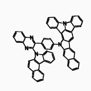 c1ccc2cc3c(cc2c1)c1cc2c4ccccc4n4c5ccccc5c(c1n3-c1ccc(-c3nc5ccccc5nc3-n3c5ccccc5c5c6ccccc6ccc53)cc1)c24